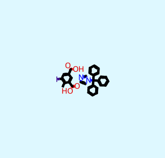 Cc1c(I)cc(C(=O)O)cc1C(=O)O.c1ccc(C(c2ccccc2)(c2ccccc2)n2ccnc2)cc1